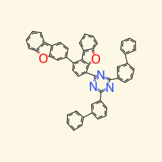 c1ccc(-c2cccc(-c3nc(-c4cccc(-c5ccccc5)c4)nc(-c4ccc(-c5ccc6c(c5)oc5ccccc56)c5c4oc4ccccc45)n3)c2)cc1